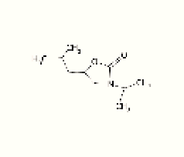 CC(C)CC1CN(C(C)C)C(=O)O1